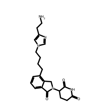 NCCc1cn(CCCCc2cccc3c2CN(C2CCC(=O)NC2=O)C3=O)cn1